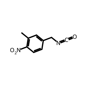 Cc1cc(CN=C=O)ccc1[N+](=O)[O-]